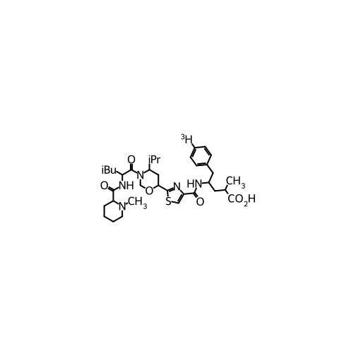 [3H]c1ccc(CC(CC(C)C(=O)O)NC(=O)c2csc(C3CC(C(C)C)N(C(=O)C(NC(=O)C4CCCCN4C)C(C)CC)CO3)n2)cc1